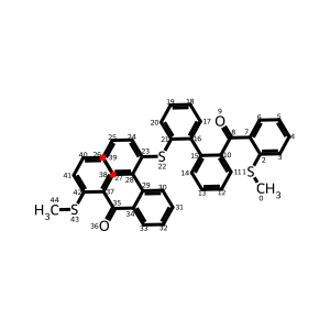 CSc1ccccc1C(=O)c1ccccc1-c1ccccc1Sc1ccccc1-c1ccccc1C(=O)c1ccccc1SC